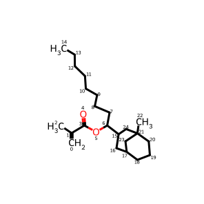 C=C(C)C(=O)OC(CCCCCCCC)C1CC2CCCC(C)(C2)C1